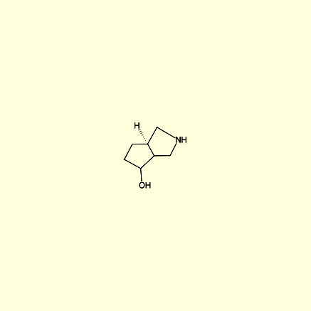 OC1CC[C@H]2CNCC12